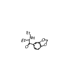 CCNC(CC)C(=O)c1ccc2c(c1)OCO2